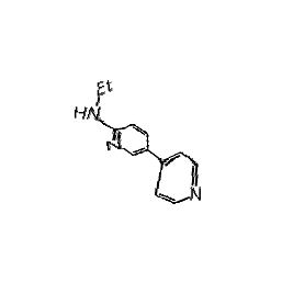 CCNc1ccc(-c2ccncc2)cn1